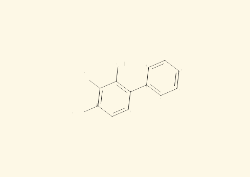 Cc1c(-c2ccccc2)ccc(S(=O)(=O)O)c1C